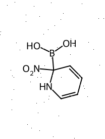 O=[N+]([O-])C1(B(O)O)C=CC=CN1